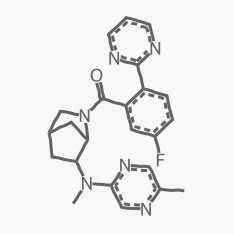 Cc1cnc(N(C)C2CC3CC2N(C(=O)c2cc(F)ccc2-c2ncccn2)C3)cn1